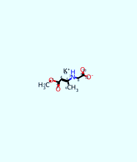 COC(=O)/C=C(\C)NCC(=O)[O-].[K+]